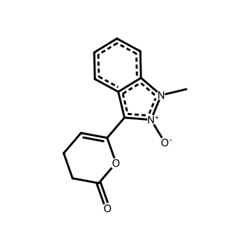 Cn1c2ccccc2c(C2=CCCC(=O)O2)[n+]1[O-]